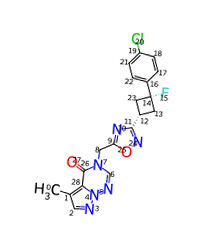 Cc1cnn2ncn(Cc3nc([C@H]4C[C@](F)(c5ccc(Cl)cc5)C4)no3)c(=O)c12